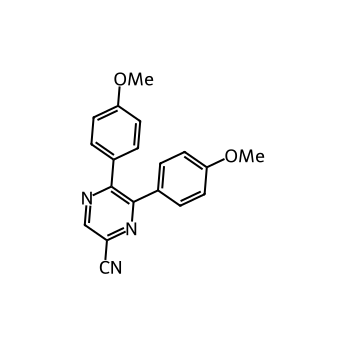 COc1ccc(-c2ncc(C#N)nc2-c2ccc(OC)cc2)cc1